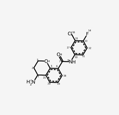 NC1CCOc2c(C(=O)Nc3ccc(F)c(Cl)c3)cccc21